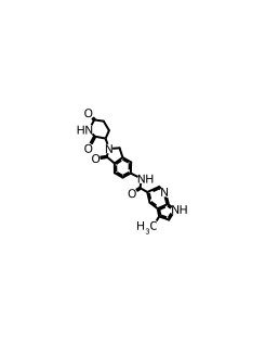 Cc1c[nH]c2ncc(C(=O)Nc3ccc4c(c3)CN(C3CCC(=O)NC3=O)C4=O)cc12